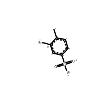 Cc1ccc(S(=O)(=O)C(C)C)cc1Br